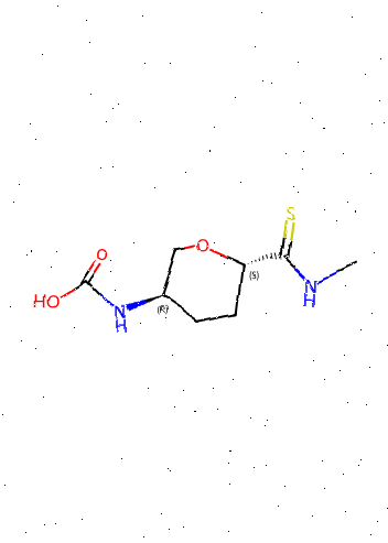 CNC(=S)[C@@H]1CC[C@@H](NC(=O)O)CO1